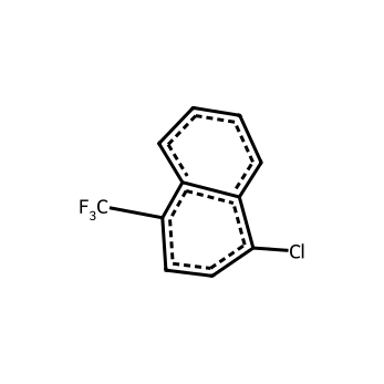 FC(F)(F)c1ccc(Cl)c2ccccc12